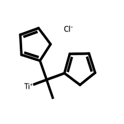 C[C]([Ti+])(C1=CC=CC1)C1=CC=CC1.[Cl-]